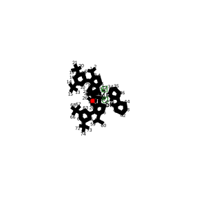 CC(C)c1ccc2c(c1-c1cc(C(C)(C)C)cc(C(C)(C)C)c1)C=C(C(C)(C)C)[CH]2[Zr]([Cl])([Cl])([c]1cccc2c1[SiH2]c1ccccc1-2)[CH]1C(C(C)(C)C)=Cc2c1ccc(C(C)C)c2-c1cc(C(C)(C)C)cc(C(C)(C)C)c1